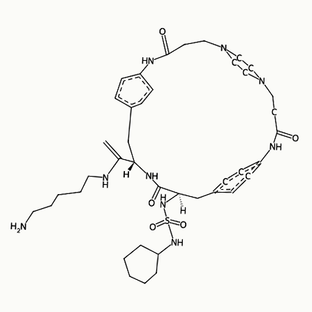 C=C(NCCCCCN)[C@@H]1Cc2ccc(cc2)NC(=O)CCN2CCN(CCC(=O)Nc3ccc(cc3)C[C@@H](NS(=O)(=O)NC3CCCCC3)C(=O)N1)CC2